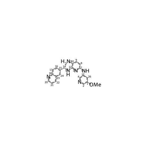 COc1cncc(Nc2ccc(N)c(NCc3ccc4ncccc4c3)n2)c1